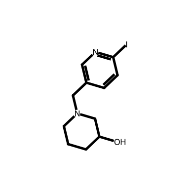 OC1CCCN(Cc2ccc(I)nc2)C1